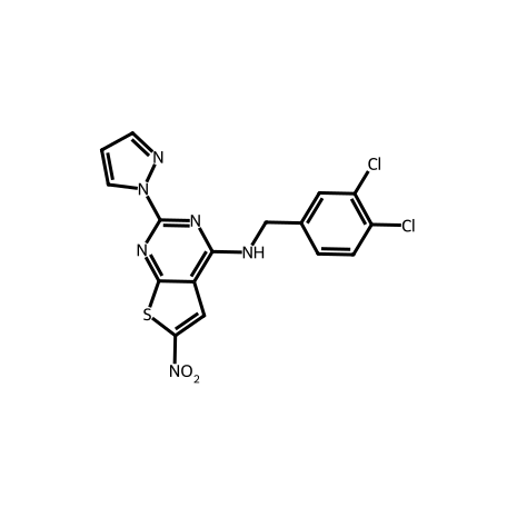 O=[N+]([O-])c1cc2c(NCc3ccc(Cl)c(Cl)c3)nc(-n3cccn3)nc2s1